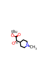 CN1CCC([C@@H]([O])C(=O)OC(C)(C)C)CC1